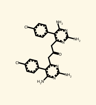 Nc1nc(N)c(-c2ccc(Cl)cc2)c(CC(=O)Cc2nc(N)nc(N)c2-c2ccc(Cl)cc2)n1